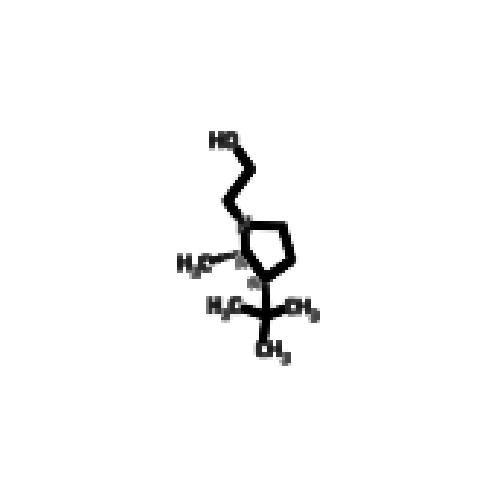 C[C@H]1[C@H](C(C)(C)C)CCN1CCO